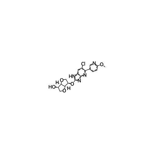 COc1ccc(-c2nc3nc(O[C@@H]4CO[C@H]5[C@@H]4OC[C@H]5O)[nH]c3cc2Cl)cn1